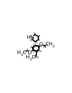 CCOc1cc([C@H]2CCCNC2)c(OCC)cc1CC